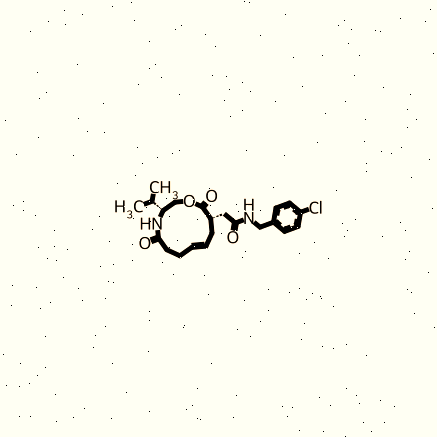 CC(C)[C@@H]1COC(=O)[C@H](CC(=O)NCc2ccc(Cl)cc2)C/C=C/CCC(=O)N1